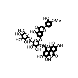 COc1ccc([C@@H]2CC(=O)c3c(O)cc(O[C@@H]4O[C@H](CO[C@@H]5O[C@@H](C)[C@H](O)[C@@H](O)[C@H]5O)[C@@H](O)[C@H](O)[C@H]4O)cc3O2)cc1O.O=c1oc2c(O)c(O)cc3c(=O)oc4c(O)c(O)cc1c4c23